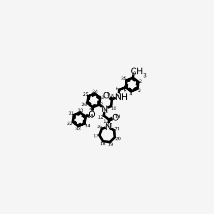 Cc1cccc(CNC(=O)CN(CC(=O)N2CCCCCC2)c2ccccc2Oc2ccccc2)c1